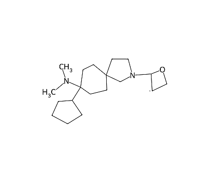 CN(C)C1(C2CCCC2)CCC2(CCN(C3[CH]CO3)C2)CC1